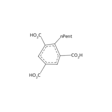 [CH2]CCCCc1c(C(=O)O)cc(C(=O)O)cc1C(=O)O